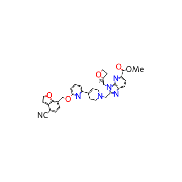 COC(=O)c1ccc2nc(CN3CC=C(c4cccc(OCc5ccc(C#N)c6ccoc56)n4)CC3)n(C[C@@H]3CCO3)c2n1